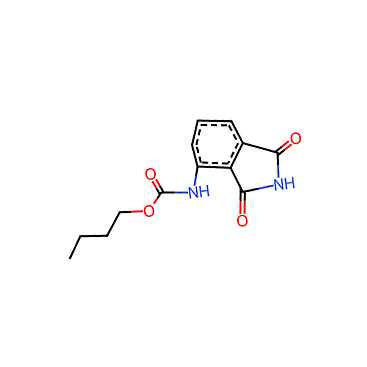 CCCCOC(=O)Nc1cccc2c1C(=O)NC2=O